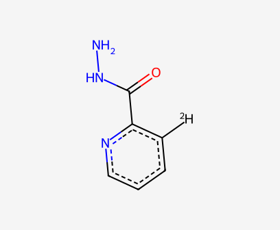 [2H]c1cccnc1C(=O)NN